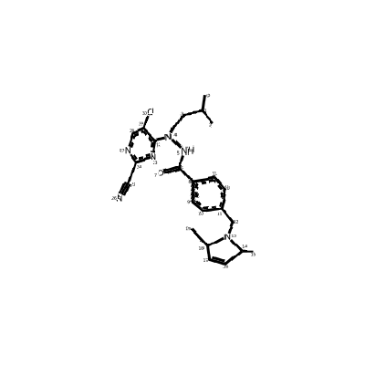 CC(C)CN(NC(=O)c1ccc(CN2C(C)C=CC2C)cc1)c1nc(C#N)ncc1Cl